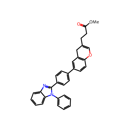 COC(=O)CCC1=COc2ccc(-c3ccc(-c4nc5ccccc5n4-c4ccccc4)cc3)cc2C1